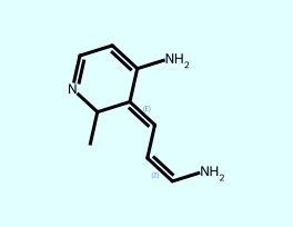 CC1N=CC=C(N)/C1=C/C=C\N